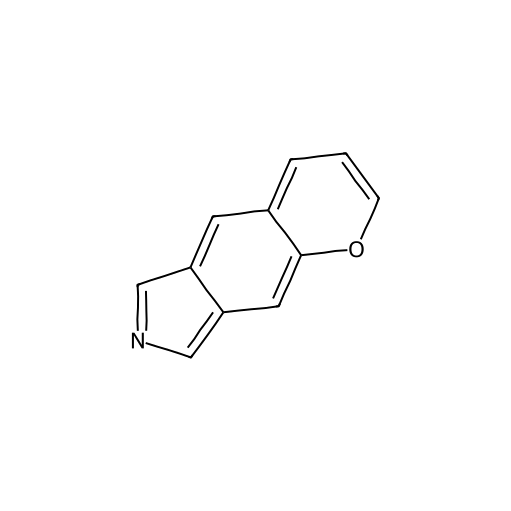 c1coc2cc3cncc3cc2c1